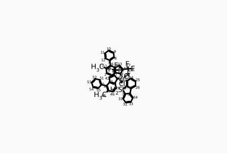 Cc1ccc2c(c1-c1ccccc1)C=C(C(F)(F)F)[CH]2[Zr]([Cl])([Cl])([c]1cccc2c1[SiH2]c1ccccc1-2)[CH]1C(C(F)(F)F)=Cc2c1ccc(C)c2-c1ccccc1